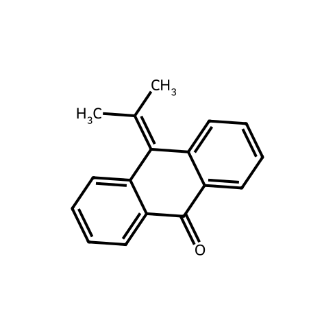 CC(C)=C1c2ccccc2C(=O)c2ccccc21